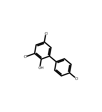 Oc1c(Cl)cc(Cl)cc1-c1ccc(Cl)cc1